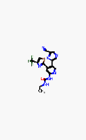 CCNC(=O)Nc1cc(-c2nc(C(F)(F)F)cs2)c(-c2cncc(C#N)n2)cn1